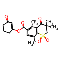 Cc1cc(C(=O)OC2=CC(=O)CCC2)c(C(F)(F)F)c2c1S(=O)(=O)CC(C)(C)C2=O